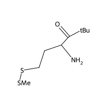 CSSCCC(N)C(=O)C(C)(C)C